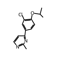 Cc1nccc(-c2ccc(OC(C)C)c(Cl)c2)n1